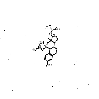 CC12C[C@H](ON(O)O)C3c4ccc(O)cc4CCC3C1CC[C@@H]2ON(O)O